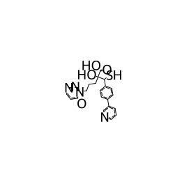 O=C(O)C(O)(CCCn1nnccc1=O)C(S)c1ccc(-c2cccnc2)cc1